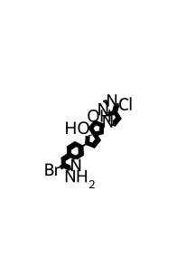 Nc1nc2cc([C@@H]3C=C[C@]4(C3)C[C@@H](n3ccc5c(Cl)ncnc53)[C@H](O)[C@@H]4O)ccc2cc1Br